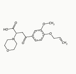 C=CCOc1ccc(C(=O)CC(C(=O)O)N2CCOCC2)cc1OC